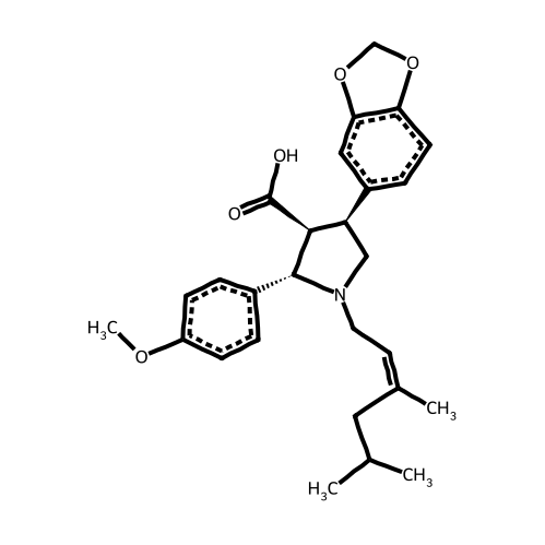 COc1ccc([C@@H]2[C@@H](C(=O)O)[C@@H](c3ccc4c(c3)OCO4)CN2CC=C(C)CC(C)C)cc1